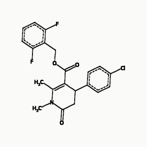 CC1=C(C(=O)OCc2c(F)cccc2F)C(c2ccc(Cl)cc2)CC(=O)N1C